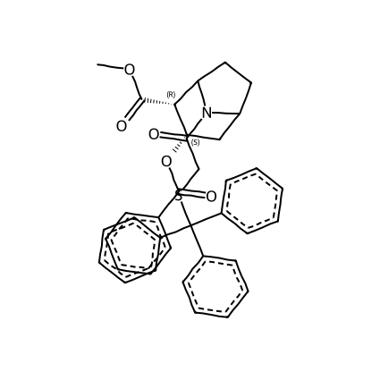 COC(=O)[C@@H]1C2CCC(C[C@@H]1OC(=O)c1ccccc1)N2C(=O)CSC(c1ccccc1)(c1ccccc1)c1ccccc1